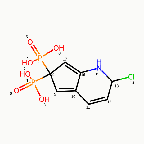 O=P(O)(O)C1(P(=O)(O)O)C=C2C=CC(Cl)NC2=C1